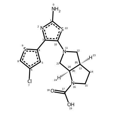 Nc1nc(-c2cc(Cl)cs2)c(N2C[C@H]3CCN(C(=O)O)[C@H]3C2)s1